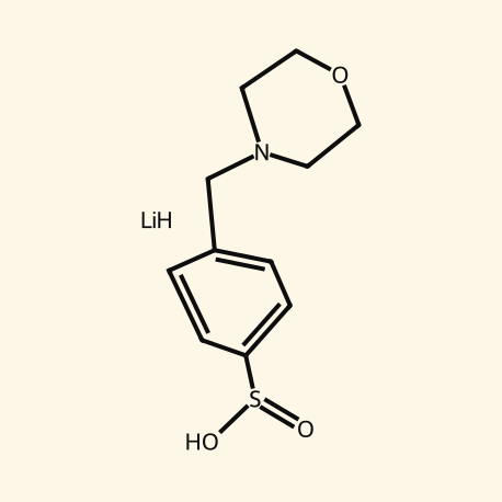 O=S(O)c1ccc(CN2CCOCC2)cc1.[LiH]